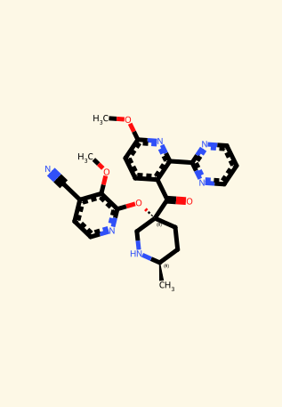 COc1ccc(C(=O)[C@@]2(Oc3nccc(C#N)c3OC)CC[C@@H](C)NC2)c(-c2ncccn2)n1